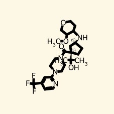 COC1COCCC1N[C@H]1CC[C@@](C(=O)N2CCN(c3cc(C(F)(F)F)ccn3)CC2)(C(C)(C)O)C1